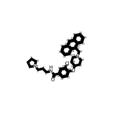 O=C(NCCCN1CCCC1)c1ccc(OC2CCN(Cc3c4ccccc4cc4ccccc34)CC2)c(Cl)c1